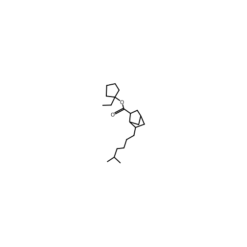 CCC1(OC(=O)C2CC3CC(CCCCC(C)C)C2C3)CCCC1